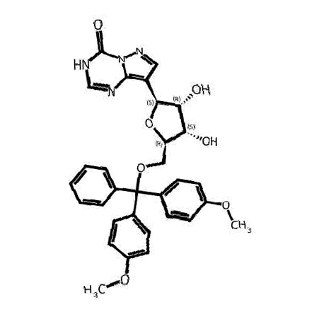 COc1ccc(C(OC[C@H]2O[C@@H](c3cnn4c(=O)[nH]cnc34)[C@H](O)[C@@H]2O)(c2ccccc2)c2ccc(OC)cc2)cc1